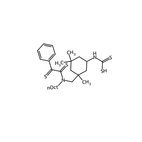 CCCCCCCCN(CC1(C)CC(NC(=S)S)CC(C)(C)C1)C(=S)C(=S)c1ccccc1